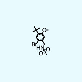 COc1cc(CNS(C)(=O)=O)c(Br)cc1C(C)(C)C